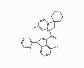 O=C(NCC1(c2ccc(F)cc2)CCCCC1)c1cn(-c2ncccn2)c2cccc(C(F)(F)F)c12